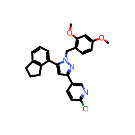 COc1ccc(Cn2nc(-c3ccc(Cl)nc3)cc2-c2cccc3c2CCC3)c(OC)c1